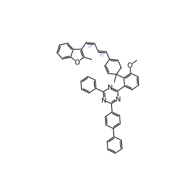 COc1cccc(-c2nc(-c3ccccc3)nc(-c3ccc(-c4ccccc4)cc3)n2)c1C1(C)C=CC(/C=C/C=C\c2c(C)oc3ccccc23)=CC1